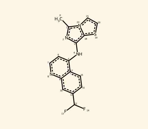 Cc1nc(Nc2ccnc3cc(C(F)F)ccc23)c2sccn12